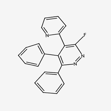 Fc1nnc(-c2ccccc2)c(-c2ccccc2)c1-c1ccccn1